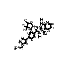 CC(C)Cn1cc(-c2ccc(C(=O)NS(=O)(=O)c3cccnc3N)c(N3CCC(C)C3(C)C)n2)cn1